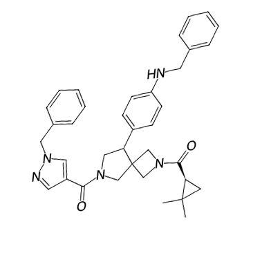 CC1(C)C[C@@H]1C(=O)N1CC2(CN(C(=O)c3cnn(Cc4ccccc4)c3)CC2c2ccc(NCc3ccccc3)cc2)C1